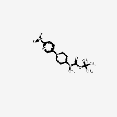 CN(C(=O)OC(C)(C)C)C1CCN(c2ccc([N+](=O)[O-])nc2)CC1